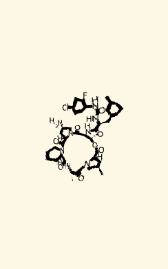 Cc1cccc(C[C@H](NC(=O)Nc2ccc(Cl)cc2F)C(=O)N[C@@H]2C(=O)N3C[C@@H](N)C[C@H]3C(=O)N3CCCC[C@H]3C(=O)N[C@@H](C)C(=O)N3C[C@H](C)C[C@H]3C(=O)O[C@H]2C)c1